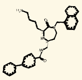 NCCCC[C@@H]1N[C@@H](CNC(=O)c2ccc(-c3ccccc3)cc2)CCN(Cc2cccc3ccccc23)C1=O